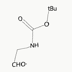 CC(C)(C)OC(=O)NC[C]=O